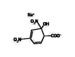 O=C([O-])C1C=CC([N+](=O)[O-])=CC1(O)[N+](=O)[O-].[Na+]